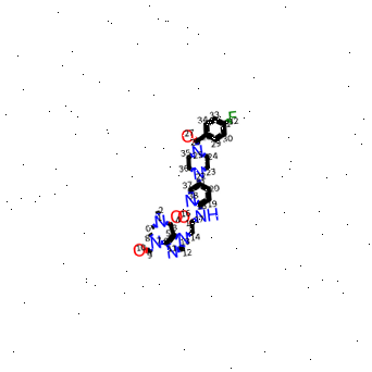 CN(C)C(=O)c1c(N(C)C=O)ncn1CC(=O)Nc1ccc(N2CCN(C(=O)c3ccc(F)cc3)CC2)cn1